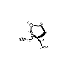 CCC(C)C1CCON1C(C)C